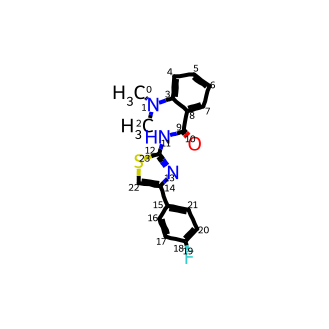 CN(C)c1ccccc1C(=O)Nc1nc(-c2ccc(F)cc2)cs1